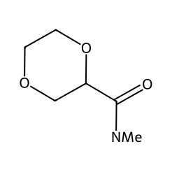 CNC(=O)C1COCCO1